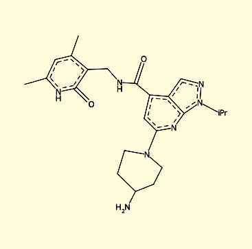 Cc1cc(C)c(CNC(=O)c2cc(N3CCC(N)CC3)nc3c2cnn3C(C)C)c(=O)[nH]1